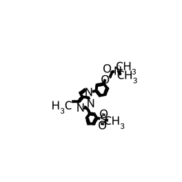 CCc1nc(-c2cccc(S(C)(=O)=O)c2)nc2c1ccn2-c1cccc(OCC(=O)N(C)C)c1